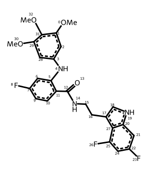 COc1cc(Nc2cc(F)ccc2C(=O)NCCc2c[nH]c3cc(F)cc(F)c23)cc(OC)c1OC